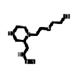 O=CNCC1CNCCN1CCOCCO